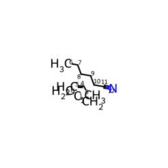 C=C=C.C=CC.CCCCCC#N